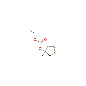 CCOC(=O)OC1(C)CSSC1